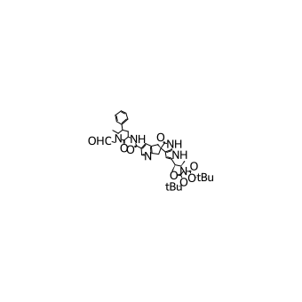 CC1C(c2ccccc2)CC(NC(=O)c2cnc3c(c2)C[C@@]2(C3)C(=O)Nc3[nH]c([C@H](C)[C@@H](C)N(C(=O)OC(C)(C)C)C(=O)OC(C)(C)C)cc32)C(=O)N1CC=O